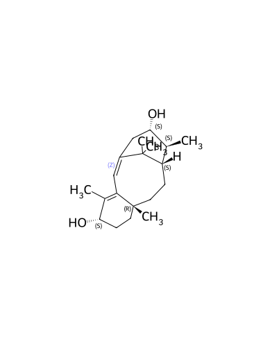 CC1=C2/C=C3/C[C@H](O)[C@@H](C)[C@H](CC[C@]2(C)CC[C@@H]1O)C3(C)C